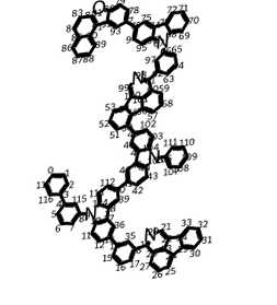 c1ccc(-c2cccc(-n3c4ccc(-c5cccc(-c6ncc7c8c(cccc68)-c6ccccc6-7)c5)cc4c4cc(-c5ccc6c(c5)c5cc(-c7cccc8c7-c7cccc9c(-c%10cccc(-n%11c%12ccccc%12c%12cc(-c%13ccc%14oc%15ccc%16ccccc%16c%15c%14c%13)ccc%12%11)c%10)ncc-8c79)ccc5n6-c5ccccc5)ccc43)c2)cc1